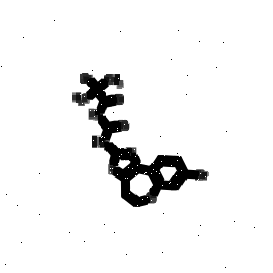 CC(C)(Br)C(=O)NC(=O)Nc1nc2c(s1)CCOc1cc(Br)ccc1-2